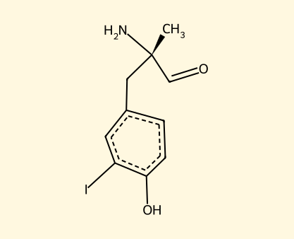 C[C@@](N)(C=O)Cc1ccc(O)c(I)c1